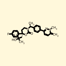 C=C1C=CC(c2ccc([C@H](C)N3CC[C@](CC(C)(C)O)(c4ccc(F)cc4)OC3=O)cc2)=NN1C